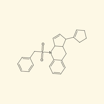 O=S(=O)(Cc1ccccc1)N1c2ccccc2CC2C(C3=CCCC3)C=CC21